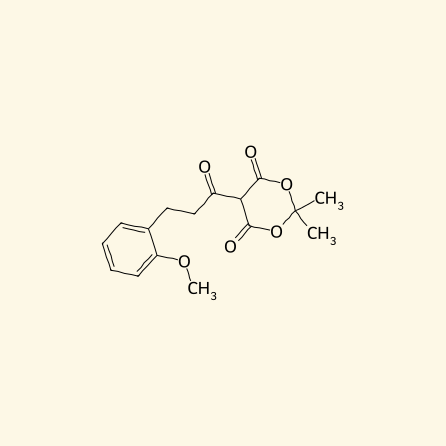 COc1ccccc1CCC(=O)C1C(=O)OC(C)(C)OC1=O